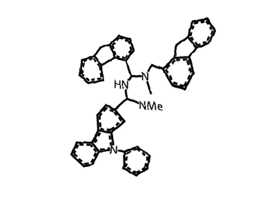 CNC(NC(c1cccc2c1-c1ccccc1C2)N(C)Cc1cccc2c1Cc1ccccc1-2)c1ccc2c3ccccc3n(-c3ccccc3)c2c1